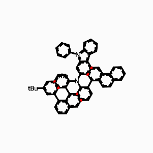 CC(C)(C)c1cc(-c2cccc3cccc(-c4ccccc4N(c4ccc5c6ccccc6n(-c6ccccc6)c5c4)c4ccccc4-c4cccc5c4ccc4ccccc45)c23)cc(C(C)(C)C)c1